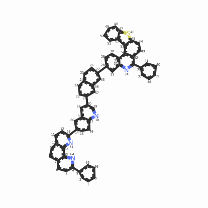 c1ccc(-c2ccc3ccc4ccc(-c5ccc6ncc(-c7ccc8ccc(-c9ccc%10c(c9)nc(-c9ccccc9)c9ccc%11sc%12ccccc%12c%11c9%10)cc8c7)cc6c5)nc4c3n2)cc1